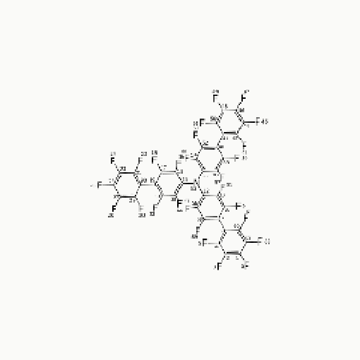 Fc1c(F)c(F)c(-c2c(F)c(F)c(N(c3c(F)c(F)c(-c4c(F)c(F)c(F)c(F)c4F)c(F)c3F)c3c(F)c(F)c(-c4c(F)c(F)c(F)c(F)c4F)c(F)c3F)c(F)c2F)c(F)c1F